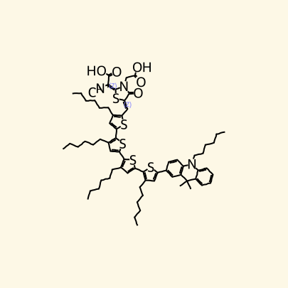 [C-]#[N+]/C(C(=O)O)=c1\s/c(=C\c2sc(-c3sc(-c4sc(-c5sc(-c6ccc7c(c6)C(C)(C)c6ccccc6N7CCCCCC)cc5CCCCCC)cc4CCCCCC)cc3CCCCCC)cc2CCCCCC)c(=O)n1CC(=O)O